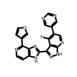 Fc1c(-c2cncnc2)cnc2[nH]nc(-c3nc4c(-c5ccoc5)nccc4[nH]3)c12